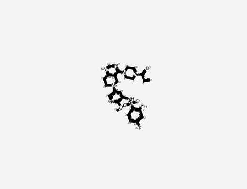 C=CC(=O)N1CCN(c2ncnc3c2CN(c2cnc(OC)c(NS(=O)(=O)c4ccc(F)cc4F)c2)CC3)CC1